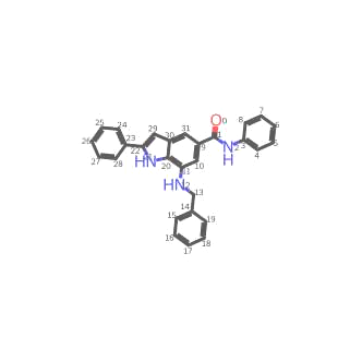 O=C(Nc1ccccc1)c1cc(NCc2ccccc2)c2[nH]c(-c3ccccc3)cc2c1